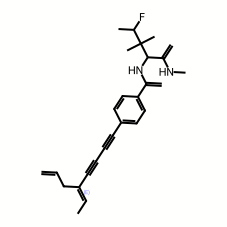 C=CC/C(C#CC#Cc1ccc(C(=C)NC(C(=C)NC)C(C)(C)C(C)F)cc1)=C\C